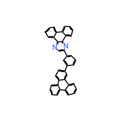 c1cc(-c2ccc3c4ccccc4c4ccccc4c3c2)cc(-c2cnc3c4ccccc4c4ccccc4c3n2)c1